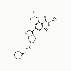 COc1cc(-c2cnc3cc(OCCN4CCCCC4)ccn23)cc(OC(F)F)c1C(=O)NC1CC1